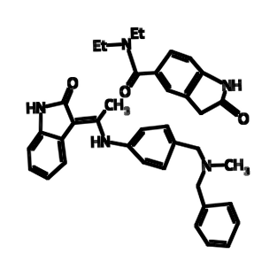 CC(Nc1ccc(CN(C)Cc2ccccc2)cc1)=C1C(=O)Nc2ccccc21.CCN(CC)C(=O)c1ccc2c(c1)CC(=O)N2